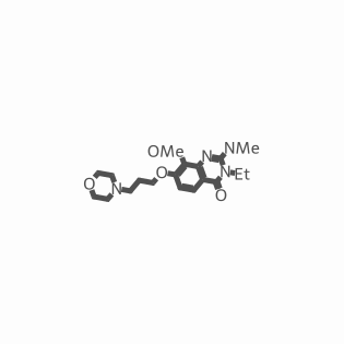 CCn1c(NC)nc2c(OC)c(OCCCN3CCOCC3)ccc2c1=O